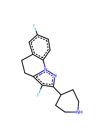 Fc1ccc2c(c1)CCc1c(F)c(C3CCNCC3)nn1-2